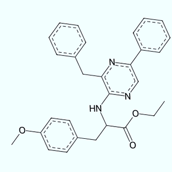 CCOC(=O)C(Cc1ccc(OC)cc1)Nc1ncc(-c2ccccc2)nc1Cc1ccccc1